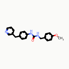 COc1ccc(CNC(=O)Nc2ccc(Cc3cccnc3)cc2)cc1